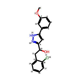 COc1cccc(-c2cc(C(O)Cc3ccccc3Cl)n[nH]2)c1